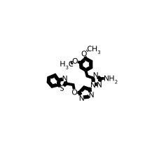 COc1ccc(Cc2nc(N)nn2-c2cc(OCc3nc4ccccc4s3)ncn2)cc1OC